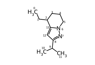 CCC1CCCn2nc(C(C)C)cc21